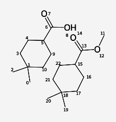 CC1(C)CCC(C(=O)O)CC1.COC(=O)C1CCC(C)(C)CC1